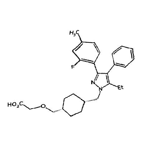 CCc1c(-c2ccccc2)c(-c2ccc(C)cc2F)nn1C[C@H]1CC[C@@H](COCC(=O)O)CC1